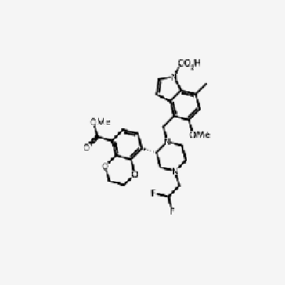 COC(=O)c1ccc([C@H]2CN(CC(F)F)CCN2Cc2c(OC)cc(C)c3c2ccn3C(=O)O)c2c1OCCO2